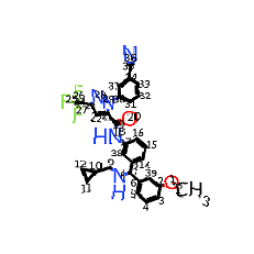 COc1cccc(C(NCC2CC2)c2cccc(NC(=O)c3cc(C(F)(F)F)nn3-c3cccc(C#N)c3)c2)c1